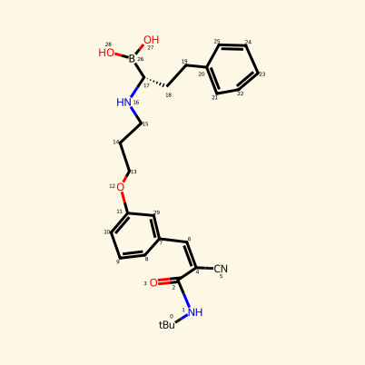 CC(C)(C)NC(=O)C(C#N)=Cc1cccc(OCCCN[C@@H](CCc2ccccc2)B(O)O)c1